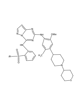 COc1cc(C2CCN(C3CCSCC3)CC2)c(C)cc1Nc1nc(Nc2ccccc2S(=O)(=O)C(C)C)n2nccc2n1